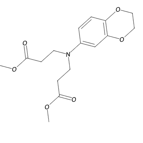 COC(=O)CCN(CCC(=O)OC)c1ccc2c(c1)OCCO2